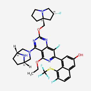 CCOc1nc(-c2cc(O)cc3ccc(F)c(SC(F)(F)F)c23)c(F)c2nc(OC[C@@]34CCCN3C[C@H](F)C4)nc(N3C[C@H]4CC[C@@H](C3)N4)c12